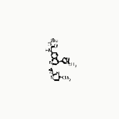 Cc1ccnc([C@H]2C[C@@H]2c2cc(-c3cnn(C)c3)c3ccc(NC(=O)OC(C)(C)C)cc3n2)n1